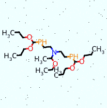 CCCOC(OCCC)PCCN(CCPC(OCCC)OCCC)C(C)OCC